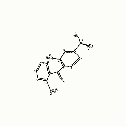 CCCCN(CCCC)c1ccc(C(=O)c2ccccc2C(=O)O)c(OC)c1